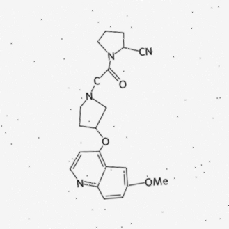 COc1ccc2nccc(OC3CCN(CC(=O)N4CCCC4C#N)C3)c2c1